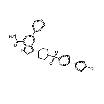 NC(=O)c1cc(-c2ccccc2)cc2c(C3CCN(S(=O)(=O)c4ccc(-c5ccc(Cl)cc5)cc4)CC3)c[nH]c12